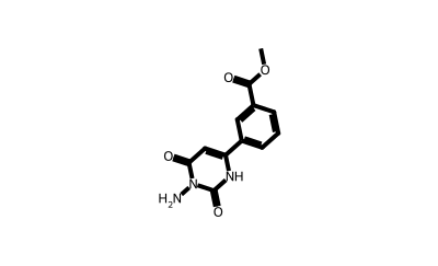 COC(=O)c1cccc(-c2cc(=O)n(N)c(=O)[nH]2)c1